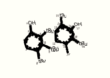 CC(C)(C)c1ccc(O)c(C(C)(C)C)c1C(C)(C)C.Cc1ccc(C(C)(C)C)c(O)c1C(C)(C)C